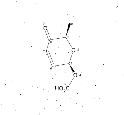 C[C@H]1O[C@@H](OC(=O)O)C=CC1=O